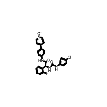 O=C(Nc1ccc(Cl)cc1)NC(C(=O)Nc1ccc(-c2cc[n+]([O-])cc2)cc1)c1ccccc1F